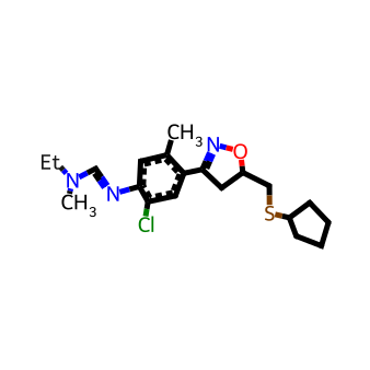 CCN(C)C=Nc1cc(C)c(C2=NOC(CSC3CCCC3)C2)cc1Cl